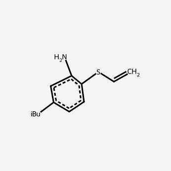 C=CSc1ccc(C(C)CC)cc1N